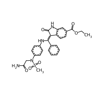 CCOC(=O)c1ccc2c(c1)NC(=O)/C2=C(\Nc1ccc(N(CC(N)=O)S(C)(=O)=O)cc1)c1ccccc1